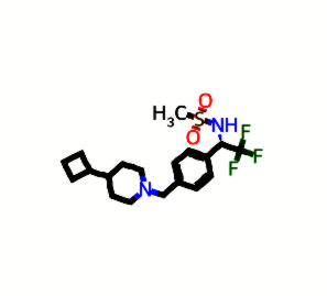 CS(=O)(=O)N[C@@H](c1ccc(CN2CCC(C3CCC3)CC2)cc1)C(F)(F)F